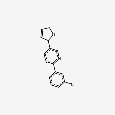 Clc1cccc(-c2ncc(C3C=CCO3)cn2)c1